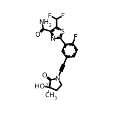 C[C@@]1(O)CCN(C#Cc2ccc(F)c(-c3nc(C(N)=O)c(C(F)F)s3)c2)C1=O